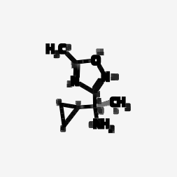 Cc1nc([C@@](C)(N)C2CC2)no1